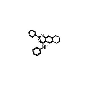 c1ccc(Nc2nc(-c3ccccc3)nc3cc4c(cc23)CCCC4)cc1